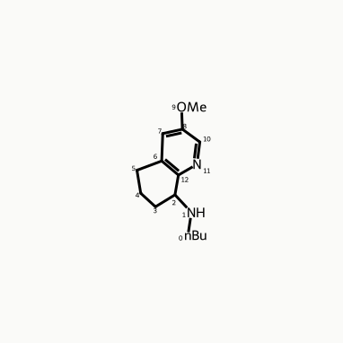 [CH2]CCCNC1CCCc2cc(OC)cnc21